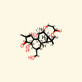 CC1=CC2[C@@]3(O)[C@H](C)[C@H]4OCCC(=O)O[C@]45[C@H]([C@@H]3C=C(CO)C[C@]2(O)C1=O)C5(C)C